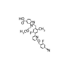 COCCn1c(Cc2cc(F)c(-c3cccc(OCc4ccc(C#N)cc4F)n3)cc2C)nc2ccc(C(=O)O)cc21